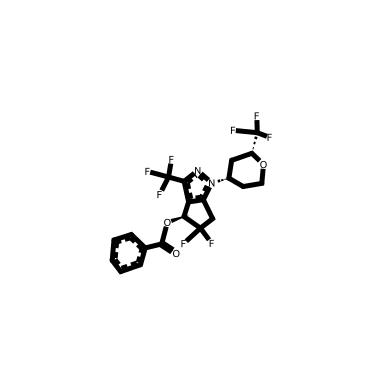 O=C(O[C@H]1c2c(C(F)(F)F)nn([C@H]3CCO[C@@H](C(F)(F)F)C3)c2CC1(F)F)c1ccccc1